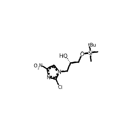 CC(C)(C)[Si](C)(C)OC[C@@H](O)Cn1cc([N+](=O)[O-])nc1Cl